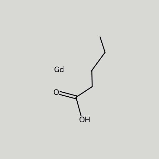 CCCCC(=O)O.[Gd]